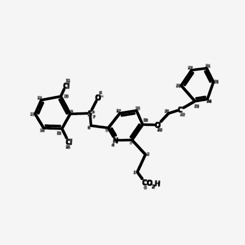 O=C(O)CCc1nc(C[S+]([O-])c2c(Cl)cccc2Cl)ccc1OCCc1ccccc1